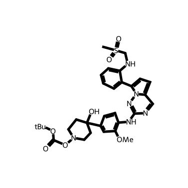 COc1cc(C2(O)CCN(OC(=O)OC(C)(C)C)CC2)ccc1Nc1ncc2ccc(-c3ccccc3NCS(C)(=O)=O)n2n1